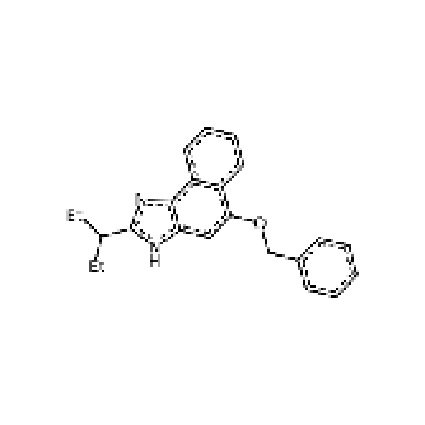 CCC(CC)c1nc2c(cc(OCc3ccccc3)c3ccccc32)[nH]1